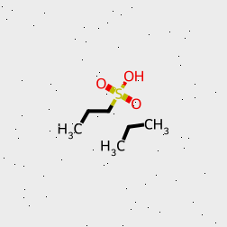 CCC.CCCS(=O)(=O)O